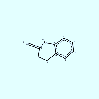 S=C1CCc2ccccc2S1